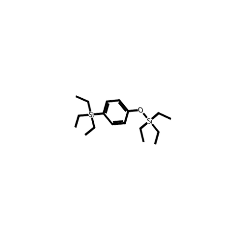 CC[Si](CC)(CC)Oc1ccc([Si](CC)(CC)CC)cc1